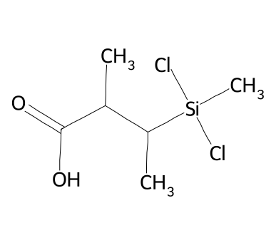 CC(C(=O)O)C(C)[Si](C)(Cl)Cl